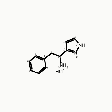 Cl.N[C@@H](Cc1ccccc1)c1cc[nH]n1